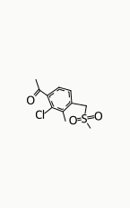 CC(=O)c1ccc(CS(C)(=O)=O)c(C)c1Cl